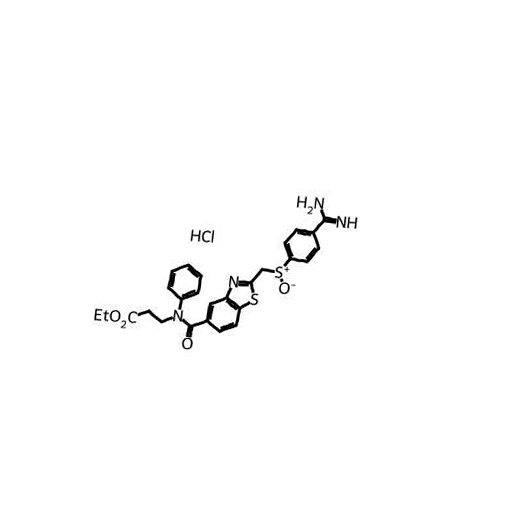 CCOC(=O)CCN(C(=O)c1ccc2sc(C[S+]([O-])c3ccc(C(=N)N)cc3)nc2c1)c1ccccc1.Cl